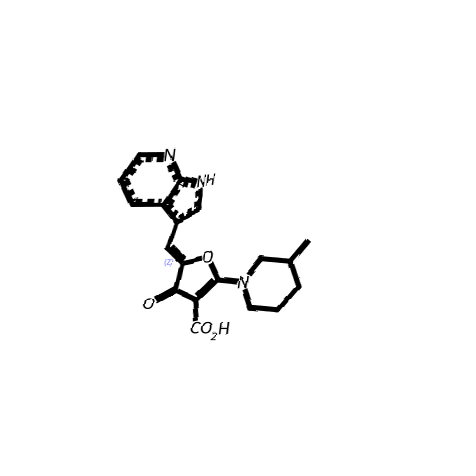 CC1CCCN(C2=C(C(=O)O)C(=O)/C(=C/c3c[nH]c4ncccc34)O2)C1